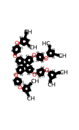 C#Cc1cc(C#C)cc(Oc2ccc(Oc3ccc(C(c4ccc(Oc5ccc(Oc6cc(C#C)cc(C#C)c6)cc5)cc4)(c4ccc(Oc5ccc(Oc6cc(C#C)cc(C#C)c6)cc5)cc4)c4ccc(Oc5ccc(Oc6cc(C#C)cc(C#C)c6)cc5)cc4)cc3)cc2)c1